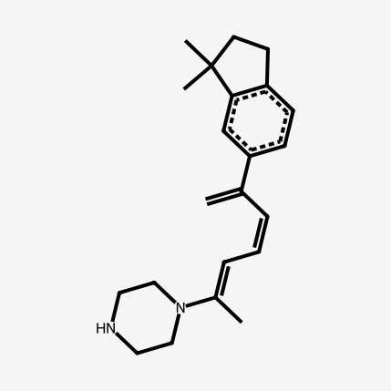 C=C(/C=C\C=C(/C)N1CCNCC1)c1ccc2c(c1)C(C)(C)CC2